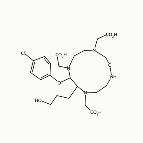 O=C(O)CN1CCNCCN(CC(=O)O)C(CCCO)C(Oc2ccc(Cl)cc2)N(CC(=O)O)CC1